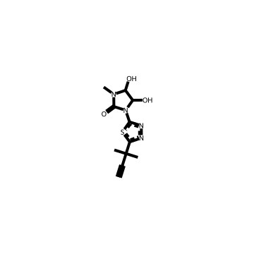 C#CC(C)(C)c1nnc(N2C(=O)N(C)C(O)C2O)s1